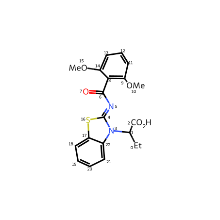 CCC(C(=O)O)n1/c(=N/C(=O)c2c(OC)cccc2OC)sc2ccccc21